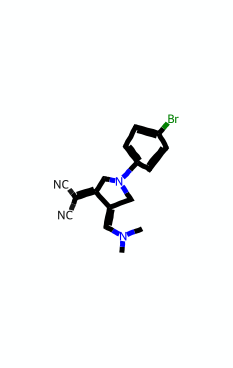 CN(C)C=C1CN(c2ccc(Br)cc2)CC1=C(C#N)C#N